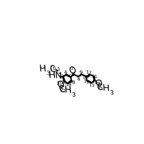 CCNc1cc(C(=O)CCc2ccc(OC)cc2)ccc1OC